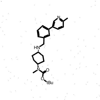 Cc1ccc(-c2cccc(CN[C@H]3CC[C@H](N(C)C(=O)OC(C)(C)C)CC3)c2)cn1